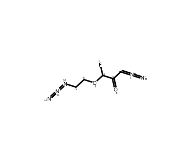 [N-]=[N+]=CC(=O)C(F)OCCN=[N+]=[N-]